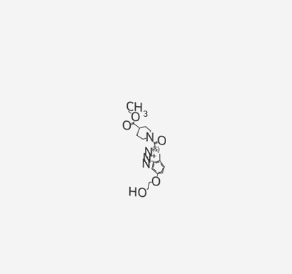 CCOC(=O)C1CCN(C(=O)[C@H](Cc2ccc(OCCO)cc2)N=[N+]=[N-])CC1